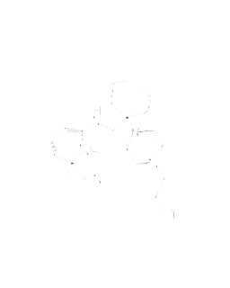 CC(C)CCN1CCN(C2(CNC3=CC=CC(C)(C#N)N3)CCOCC2)CC1